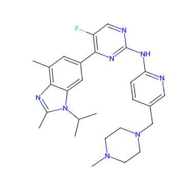 Cc1cc(-c2nc(Nc3ccc(CN4CCN(C)CC4)cn3)ncc2F)cc2c1nc(C)n2C(C)C